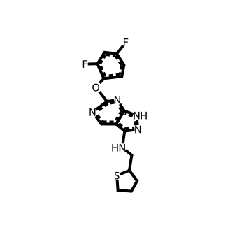 Fc1ccc(Oc2ncc3c(NCC4CCCS4)n[nH]c3n2)c(F)c1